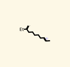 [CH]=C(CC)CCCCC/C=C/C